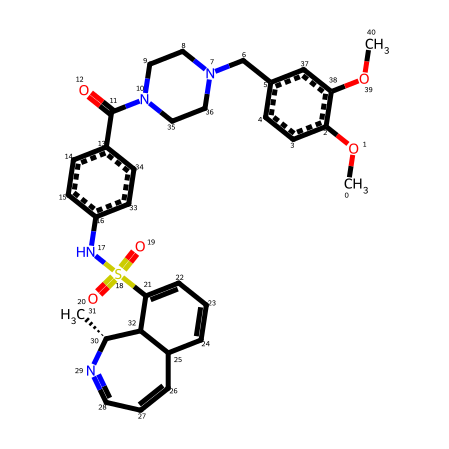 COc1ccc(CN2CCN(C(=O)c3ccc(NS(=O)(=O)C4=CC=CC5C=CC=N[C@H](C)C45)cc3)CC2)cc1OC